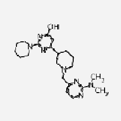 CN(C)c1nccc(CN2CCCC(c3cc(O)nc(N4CCCCC4)n3)C2)n1